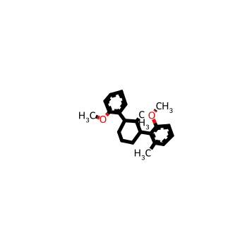 COc1ccccc1C1CCCC(c2c(C)cccc2OC)C1C